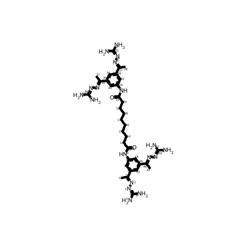 CC(=NN=C(N)N)c1cc(NC(=O)CCCCCCCCC(=O)Nc2cc(C(C)=NN=C(N)N)cc(C(C)=NN=C(N)N)c2)cc(C(C)=NN=C(N)N)c1